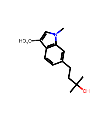 Cn1cc(C(=O)O)c2ccc(CCC(C)(C)O)cc21